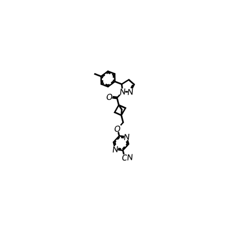 Cc1ccc(C2CC=NN2C(=O)C23CC(COc4cnc(C#N)cn4)(C2)C3)cc1